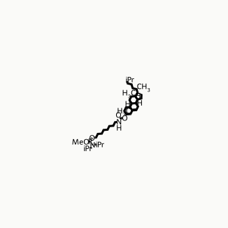 COP(OCCCCCCCCNC(=O)O[C@H]1CC[C@@]2(C)C(=CC[C@H]3[C@@H]4CC[C@H]([C@H](C)CCCC(C)C)[C@@]4(C)CC[C@@H]32)C1)N(C(C)C)C(C)C